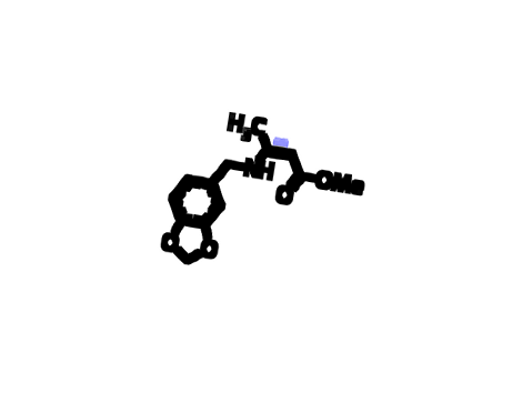 COC(=O)/C=C(/C)NCc1ccc2c(c1)OCO2